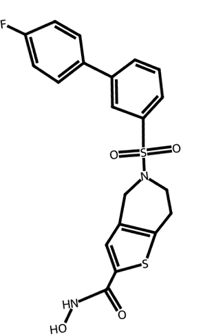 O=C(NO)c1cc2c(s1)CCN(S(=O)(=O)c1cccc(-c3ccc(F)cc3)c1)C2